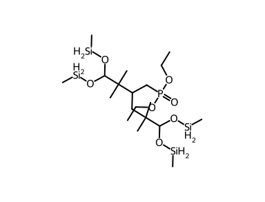 CCOP(=O)(CC(CC(C)(C)C(O[SiH2]C)O[SiH2]C)C(C)(C)C(O[SiH2]C)O[SiH2]C)OCC